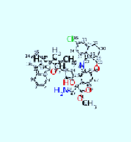 C=C[C@H](O[Si](c1ccccc1)(c1ccccc1)C(C)(C)C)[C@@H]1CC[C@H]1CN1C[C@@]2(CCCc3cc(Cl)ccc32)COc2ccc([C@](O)(CN)C(=O)OC)cc21